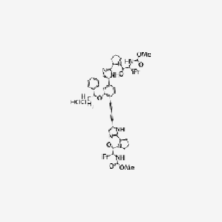 COC(=O)NC(C(=O)N1CCCC1c1ncc(C#CC#Cc2ccc(-c3cnc(C4CCCN4C(=O)[C@@H](NC(=O)OC)C(C)C)[nH]3)cc2O[C@H](C)c2ccccc2)[nH]1)C(C)C.Cl.Cl